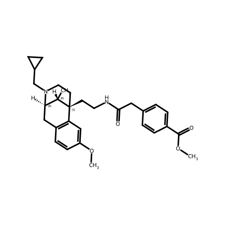 COC(=O)c1ccc(CC(=O)NCC[C@@]23CCN(CC4CC4)[C@H](Cc4ccc(OC)cc42)[C@@H]3C)cc1